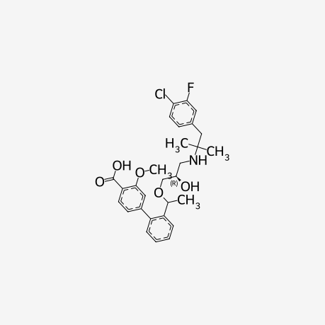 COc1cc(-c2ccccc2C(C)OC[C@H](O)CNC(C)(C)Cc2ccc(Cl)c(F)c2)ccc1C(=O)O